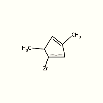 CC1=CC(C)[C]([Zr])=C1